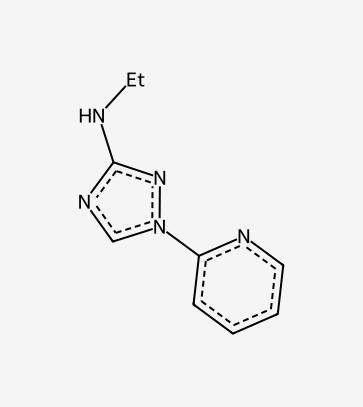 CCNc1ncn(-c2ccccn2)n1